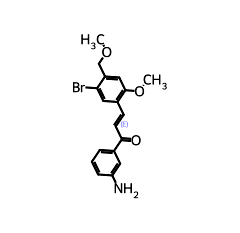 COCc1cc(OC)c(/C=C/C(=O)c2cccc(N)c2)cc1Br